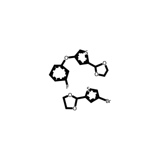 Brc1csc(C2OCCO2)c1.Fc1cccc(Oc2csc(C3OCCO3)c2)c1